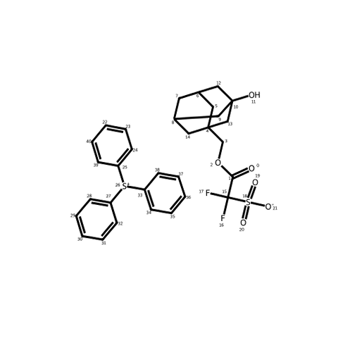 O=C(OCC12CC3CC(CC(O)(C3)C1)C2)C(F)(F)S(=O)(=O)[O-].c1ccc([S+](c2ccccc2)c2ccccc2)cc1